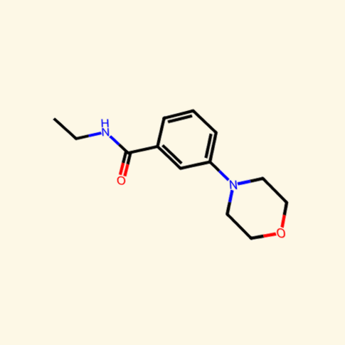 CCNC(=O)c1cccc(N2CCOCC2)c1